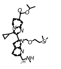 CN[C@H](C)c1ccc2cc(-c3nc4cc(C(=O)OC(C)C)ccn4c3C3CC3)n(COCC[Si](C)(C)C)c2n1